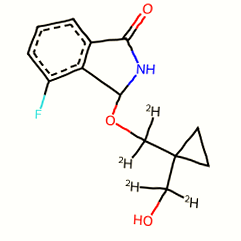 [2H]C([2H])(O)C1(C([2H])([2H])OC2NC(=O)c3cccc(F)c32)CC1